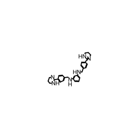 c1cc(NCc2ccc(C3=NCCCN3)cc2)cc(NCc2ccc(C3=NCCCN3)cc2)c1